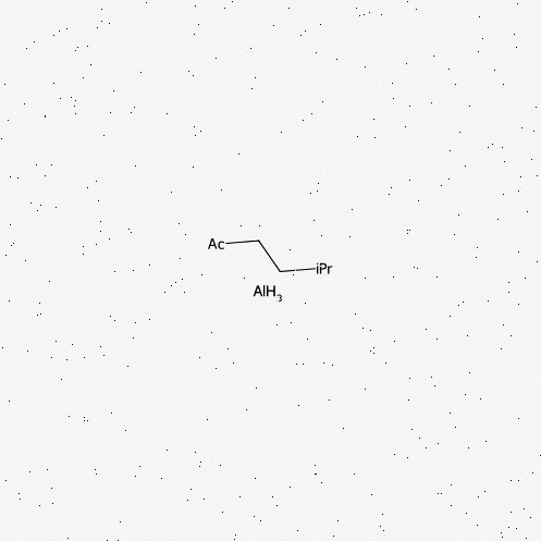 CC(=O)CCC(C)C.[AlH3]